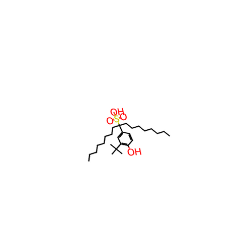 CCCCCCCCC(CCCCCCCC)(c1ccc(O)c(C(C)(C)C)c1)S(=O)(=O)O